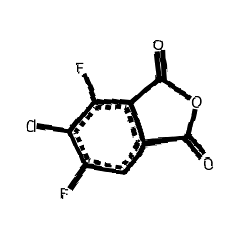 O=C1OC(=O)c2c1cc(F)c(Cl)c2F